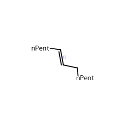 [CH2]CCCC/C=C/CCCCCC